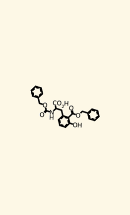 O=C(NC(Cc1cccc(O)c1C(=O)OCc1ccccc1)C(=O)O)OCc1ccccc1